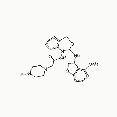 COc1cccc2c1C(NC1OCc3ccccc3N1NC(=O)CN1CCN(C(C)C)CC1)CO2